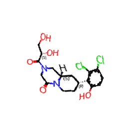 O=C([C@@H](O)CO)N1CC(=O)N2CC[C@@H](c3c(O)ccc(Cl)c3Cl)C[C@H]2C1